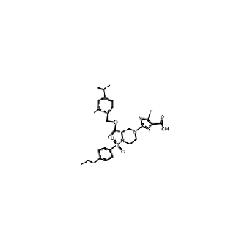 CCCc1ccc(S(=O)(=O)N2CCN(c3nc(C)c(C(=O)O)s3)C[C@@H]2C(=O)OCc2ccc(C(C)C)cc2C)cc1